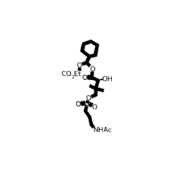 CCOC(=O)OC(OC(=O)[C@H](O)C(C)(C)COS(=O)(=O)CCCNC(C)=O)C1CCCCC1